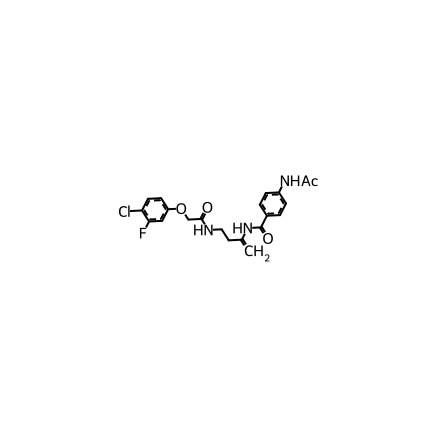 C=C(CCNC(=O)COc1ccc(Cl)c(F)c1)NC(=O)c1ccc(NC(C)=O)cc1